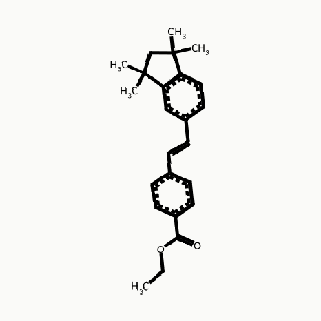 CCOC(=O)c1ccc(C=Cc2ccc3c(c2)C(C)(C)CC3(C)C)cc1